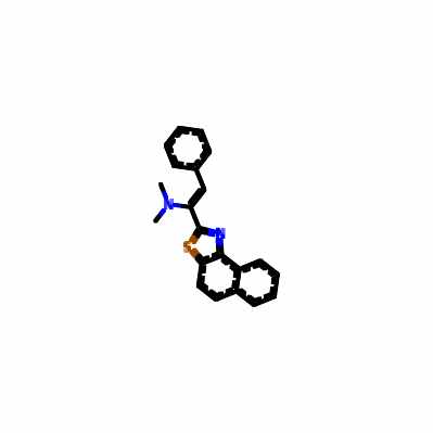 CN(C)C(=Cc1ccccc1)c1nc2c(ccc3ccccc32)s1